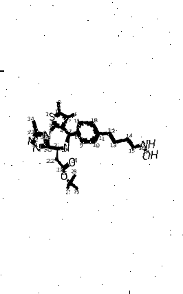 Cc1sc2c(c1C)C(c1ccc(CCCCNO)cc1)=N[C@@H](CC(=O)OC(C)(C)C)c1nnc(C)n1-2